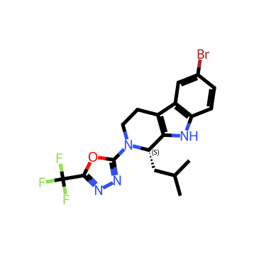 CC(C)C[C@H]1c2[nH]c3ccc(Br)cc3c2CCN1c1nnc(C(F)(F)F)o1